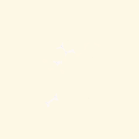 Cc1ccc(-c2cc(C(F)(F)F)nn2-c2ccc(S(=O)(=O)NC(=O)[C@H](Cc3ccccc3)N(C)/[N+]([O-])=N/OC(C)OC(=O)C(C)C)cc2)cc1